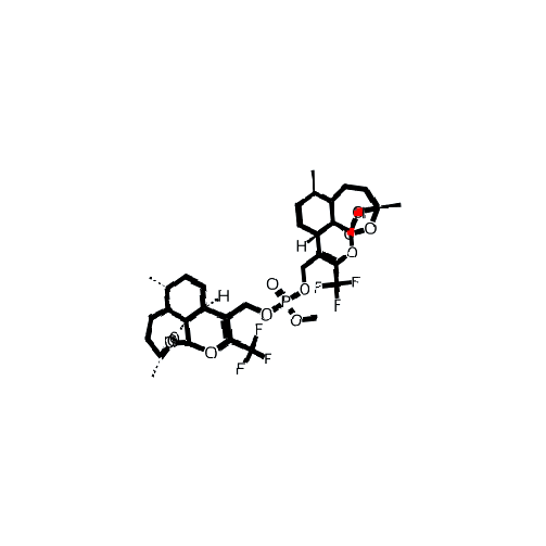 COP(=O)(OCC1=C(C(F)(F)F)OC2O[C@]3(C)CCC4[C@H](C)CC[C@@H]1[C@@]24OO3)OCC1=C(C(F)(F)F)O[C@@H]2O[C@]3(C)CCC4[C@H](C)CC[C@@H]1[C@]42OO3